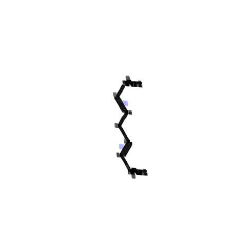 [CH2]CCCC/C=C/C/C=C/CCCCC